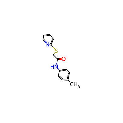 Cc1ccc(NC(=O)CSc2ccccn2)cc1